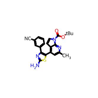 Cc1cc(-c2sc(N)nc2-c2cccc(C#N)c2)c2ccn(C(=O)OC(C)(C)C)c2n1